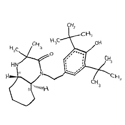 CC1(C)N[C@H]2CCCC[C@@H]2N(Cc2cc(C(C)(C)C)c(O)c(C(C)(C)C)c2)C1=O